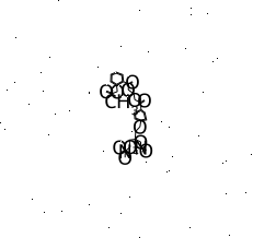 CC(=O)Oc1ccccc1C(=O)OCOC(=O)c1ccc(OCC(CO[N+](=O)[O-])ON=O)cc1